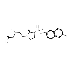 CC(CCN1CCC(NS(=O)(=O)c2ccc3cc(Cl)ccc3c2)C1=O)CC(N)=O